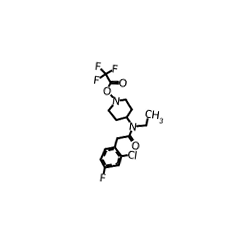 CCN(C(=O)Cc1ccc(F)cc1Cl)C1CCN(OC(=O)C(F)(F)F)CC1